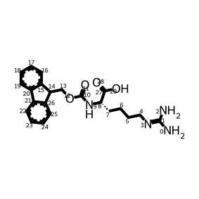 NC(N)=NCCCC[C@H](NC(=O)OCC1c2ccccc2-c2ccccc21)C(=O)O